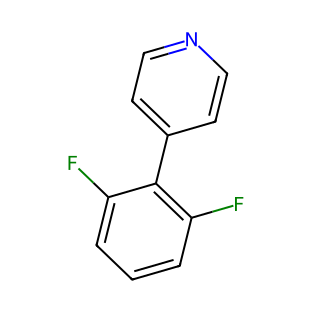 Fc1cccc(F)c1-c1ccncc1